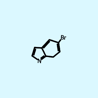 BrC1=CCC2=NC=CC2=C1